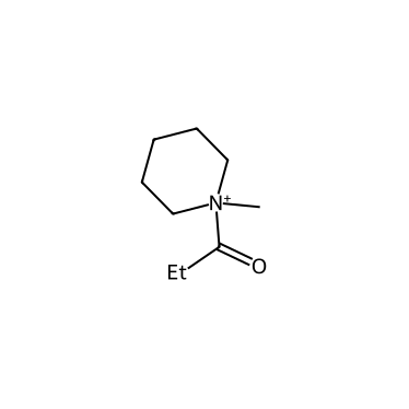 [CH2]CC(=O)[N+]1(C)CCCCC1